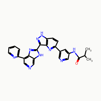 CC(C)C(=O)Nc1cncc(-c2ccc3[nH]nc(-c4nc5c(-c6ccccn6)cncc5[nH]4)c3n2)c1